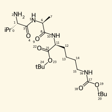 CC(C)[C@H](N)C(=O)N[C@@H](C)C(=O)N[C@@H](CCCCNC(=O)OC(C)(C)C)C(=O)OC(C)(C)C